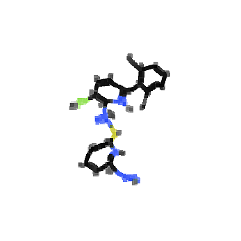 Cc1cccc(C)c1-c1ccc(F)c(NSc2cccc(N)n2)n1